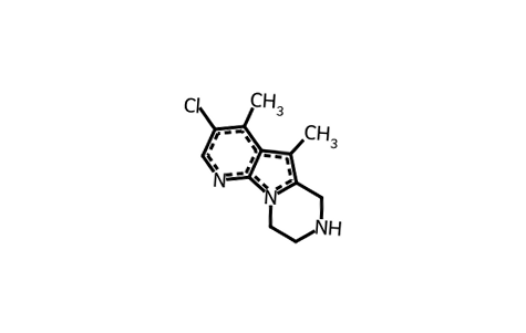 Cc1c(Cl)cnc2c1c(C)c1n2CCNC1